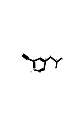 C#Cc1cc(CC(C)C)ccn1